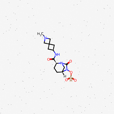 CN1CC2(CC(NC(=O)[C@@H]3CC[C@@H]4CN3C(=O)N4O[SH](=O)=O)C2)C1